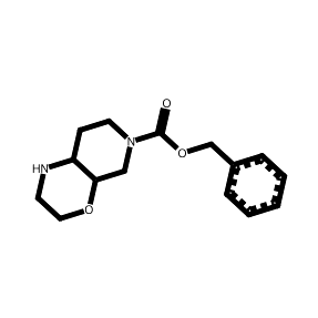 O=C(OCc1ccccc1)N1CCC2NCCOC2C1